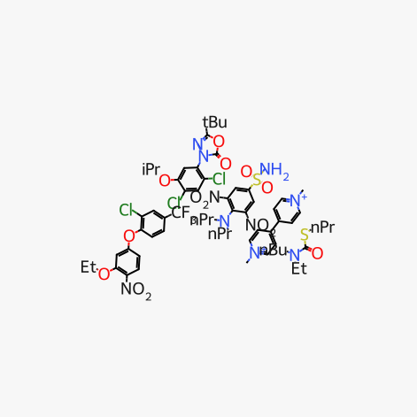 CC(C)Oc1cc(-n2nc(C(C)(C)C)oc2=O)c(Cl)cc1Cl.CCCCN(CC)C(=O)SCCC.CCCN(CCC)c1c([N+](=O)[O-])cc(S(N)(=O)=O)cc1[N+](=O)[O-].CCOc1cc(Oc2ccc(C(F)(F)F)cc2Cl)ccc1[N+](=O)[O-].C[n+]1ccc(-c2cc[n+](C)cc2)cc1